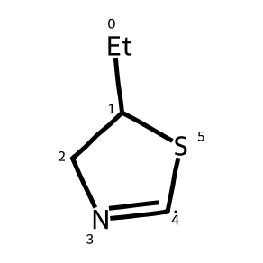 CCC1CN=[C]S1